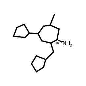 CC1CC(C2CCCC2)CC(CC2CCCC2)[C@H](N)C1